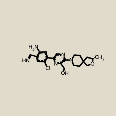 C[C@H]1CC2(CCN(c3ncc(-c4cc(N)c(C=N)cc4Cl)nc3CO)CC2)CO1